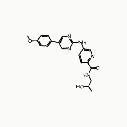 COc1ccc(-c2cnc(Nc3ccc(C(=O)NCC(C)O)nc3)nc2)cc1